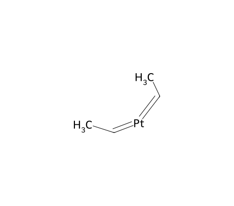 C[CH]=[Pt]=[CH]C